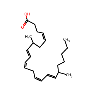 CCCCCC(C)/C=C/C=C\C/C=C\C=C\C(C)C/C=C\CCC(=O)O